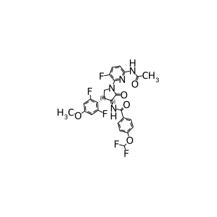 COc1cc(F)c([C@@H]2CN(c3nc(NC(C)=O)ccc3F)C(=O)[C@H]2NC(=O)c2ccc(OC(F)F)cc2)c(F)c1